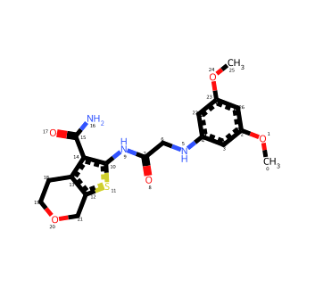 COc1cc(NCC(=O)Nc2sc3c(c2C(N)=O)CCOC3)cc(OC)c1